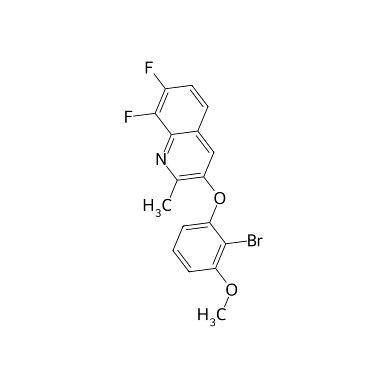 COc1cccc(Oc2cc3ccc(F)c(F)c3nc2C)c1Br